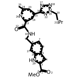 COC(=O)c1cc2ccc(CNC(=O)c3cc(-c4nnn(CC(C)C)n4)cc(C)n3)cc2[nH]1